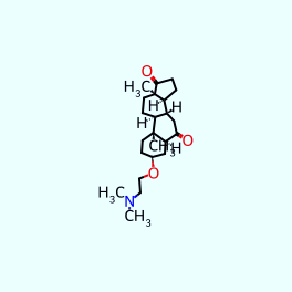 CN(C)CCO[C@H]1CC[C@@]2(C)[C@H](C1)C(=O)C[C@@H]1[C@@H]2CC[C@]2(C)C(=O)CC[C@@H]12